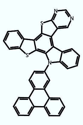 c1ccc2c(c1)sc1c2c2sc3ncncc3c2c2c3ccccc3n(-c3ccc4c5ccccc5c5ccccc5c4c3)c12